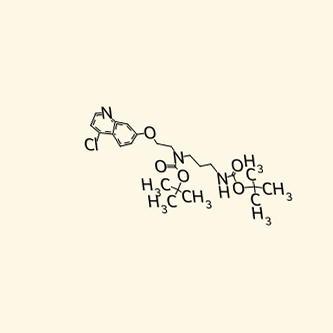 CC(C)(C)OC(=O)NCCCN(CCOc1ccc2c(Cl)ccnc2c1)C(=O)OC(C)(C)C